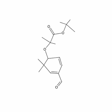 CC(C)(C)OC(=O)C(C)(C)OC1C=CC(C=O)=CC1(C)C